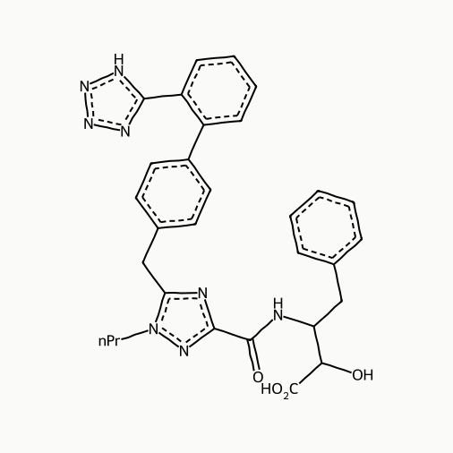 CCCn1nc(C(=O)NC(Cc2ccccc2)C(O)C(=O)O)nc1Cc1ccc(-c2ccccc2-c2nnn[nH]2)cc1